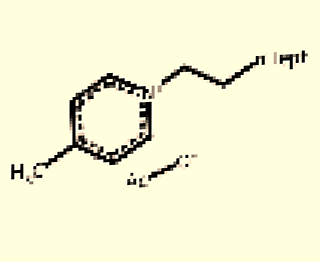 CC(=O)[O-].CCCCCCCCC[n+]1ccc(C)cc1